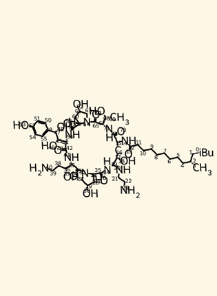 CC[C@H](C)C[C@H](C)CCCCCCCCC(=O)N[C@H]1C[C@@H](O)C(NCCN)NC(=O)[C@@H]2C[C@@H](O)CN2C(=O)[C@H]([C@H](O)CCN)NC(=O)[C@H]([C@H](O)[C@@H](O)c2ccc(O)cc2)NC(=O)[C@@H]2C[C@@H](O)CN2C(=O)[C@H]([C@@H](C)O)NC1=O